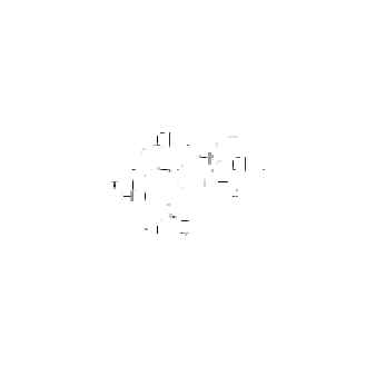 CS(=O)(=O)O.C[N+](C)(C)CC(CC(=O)[O-])OS(C)(=O)=O